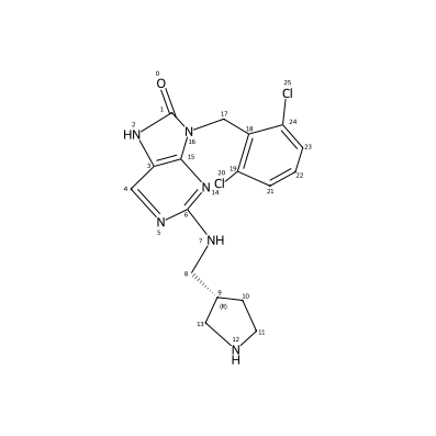 O=c1[nH]c2cnc(NC[C@@H]3CCNC3)nc2n1Cc1c(Cl)cccc1Cl